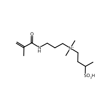 C=C(C)C(=O)NCCC[N+](C)(C)CCC(C)S(=O)(=O)O